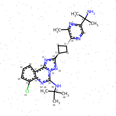 Cc1nc(C(C)(C)N)cnc1[C@H]1C[C@H](c2nc3c4cccc(Cl)c4nc(NC(C)(C)C)n3n2)C1